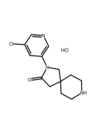 Cl.O=C1CC2(CCNCC2)CN1c1cncc(Cl)c1